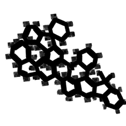 CC1(C)c2ccccc2-c2cccc(-c3ccccc3N(c3ccc4c(c3)C3(CCCCC3)c3ccccc3-4)c3ccccc3-c3ccc4c(ccc5ccccc54)c3)c21